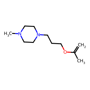 C=C(C)OCCCN1CCN(C)CC1